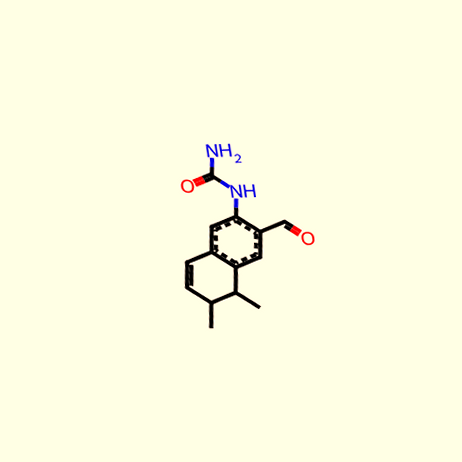 CC1C=Cc2cc(NC(N)=O)c(C=O)cc2C1C